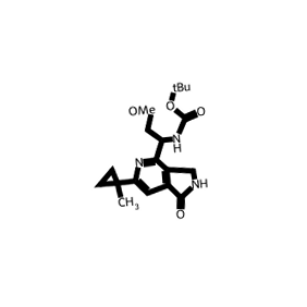 COCC(NC(=O)OC(C)(C)C)c1nc(C2(C)CC2)cc2c1CNC2=O